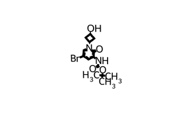 CC(C)(C)OC(=O)Nc1cc(Br)cn([C@H]2C[C@@H](O)C2)c1=O